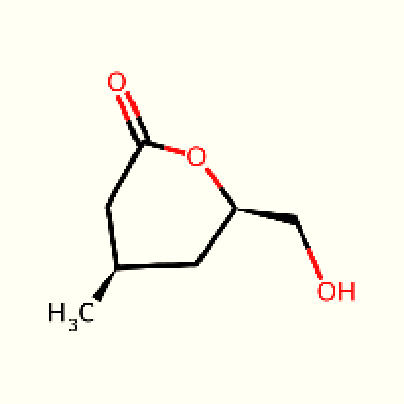 C[C@H]1CC(=O)O[C@@H](CO)C1